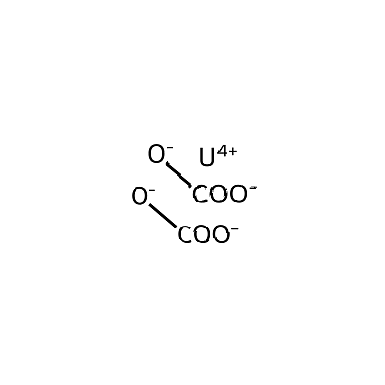 O=C([O-])[O-].O=C([O-])[O-].[U+4]